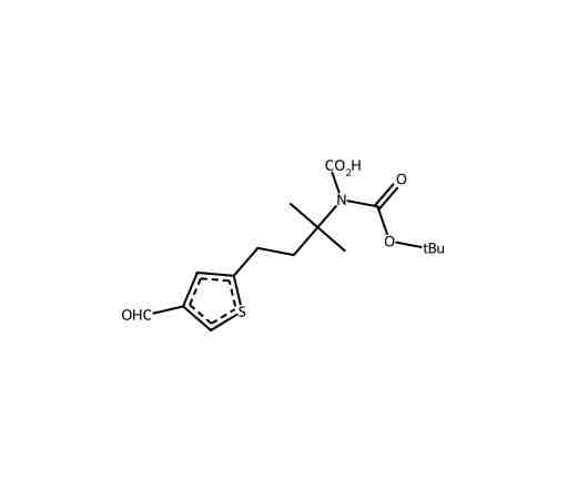 CC(C)(C)OC(=O)N(C(=O)O)C(C)(C)CCc1cc(C=O)cs1